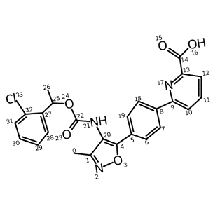 Cc1noc(-c2ccc(-c3cccc(C(=O)O)n3)cc2)c1NC(=O)OC(C)c1ccccc1Cl